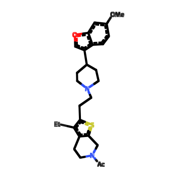 CCc1c(CCN2CCC(c3coc4cc(OC)ccc34)CC2)sc2c1CCN(C(C)=O)C2